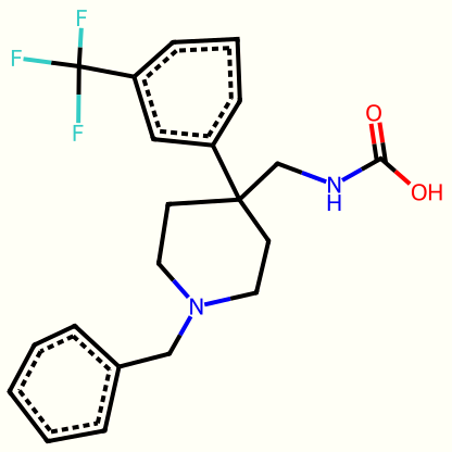 O=C(O)NCC1(c2cccc(C(F)(F)F)c2)CCN(Cc2ccccc2)CC1